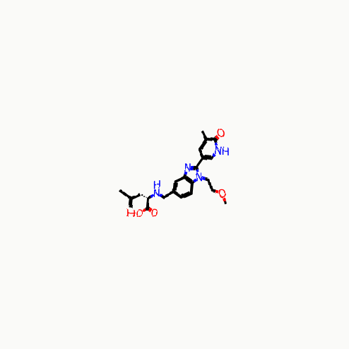 COCCn1c(-c2c[nH]c(=O)c(C)c2)nc2cc(CN[C@@H](CC(C)C)C(=O)O)ccc21